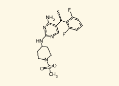 CS(=O)(=O)N1CCC(Nc2ncc(C(=S)c3c(F)cccc3F)c(N)n2)CC1